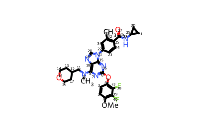 COc1ccc(Oc2nc(N(C)CC3CCOCC3)c3ncn(-c4ccc(C(=O)NC5CC5)c(C)c4)c3n2)c(F)c1F